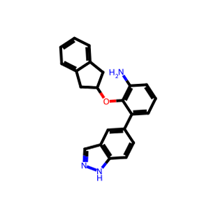 Nc1cccc(-c2ccc3[nH]ncc3c2)c1OC1Cc2ccccc2C1